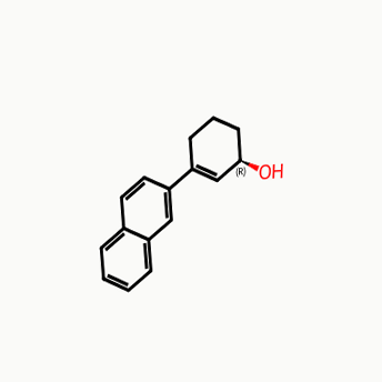 O[C@H]1C=C(c2ccc3ccccc3c2)CCC1